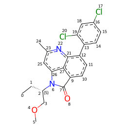 CC[C@@H](COC)N1C(=O)c2ccc(-c3ccc(Cl)cc3Cl)c3nc(C)cc1c23